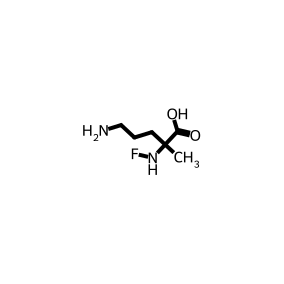 CC(CCCN)(NF)C(=O)O